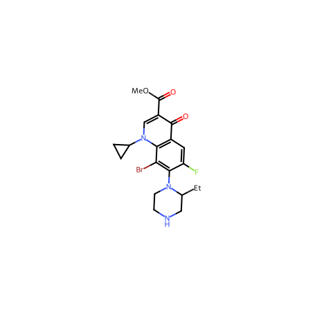 CCC1CNCCN1c1c(F)cc2c(=O)c(C(=O)OC)cn(C3CC3)c2c1Br